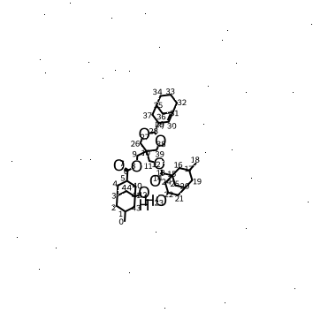 CC1CC2CC(C(=O)OCC3(COC(=O)C45CC(C)CC(CC(O)C4)C5)COC([C@H]4C=C5CCCC(C5)C4)OC3)CC(O)(C1)C2